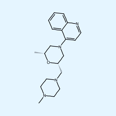 C[C@@H]1CN(c2ccnc3ccccc23)C[C@H](CN2CCN(C)CC2)O1